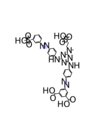 CN(CCS(=O)(=O)O)c1nc(Nc2ccc(/N=N/c3cc(C(=O)O)cc(C(=O)O)c3)cc2)nc(Nc2ccc(/N=N/c3cccc(S(=O)(=O)O)c3)cc2)n1